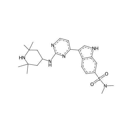 CN(C)S(=O)(=O)c1ccc2c(-c3ccnc(NC4CC(C)(C)NC(C)(C)C4)n3)c[nH]c2c1